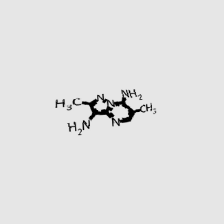 Cc1cnc2c(N)c(C)nn2c1N